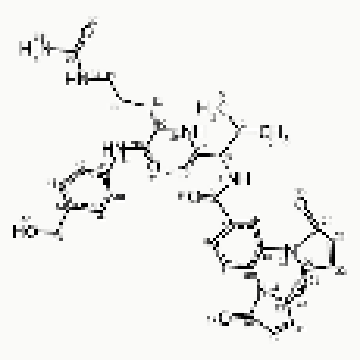 CC(C)[C@H](NC(=O)c1ccc(N2C(=O)C=CC2=O)c(N2C(=O)C=CC2=O)c1)C(=O)N[C@@H](CCCNC(N)=O)C(=O)Nc1ccc(CO)cc1